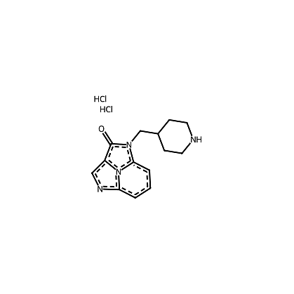 Cl.Cl.O=c1c2cnc3cccc(n1CC1CCNCC1)n32